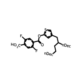 CCCCCCCCCCCCC(CCCCCCCCCC)Cc1csc(OC(=O)c2cc(F)c(C(=O)O)cc2F)c1